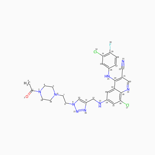 CC(=O)N1CCN(CCn2cc(CNc3cc(Cl)c4ncc(C#N)c(Nc5ccc(F)c(Cl)c5)c4c3)nn2)CC1